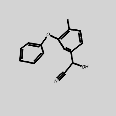 Cc1ccc(C(O)C#N)cc1Oc1ccccc1